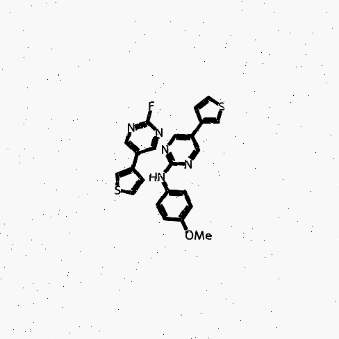 COc1ccc(Nc2ncc(-c3ccsc3)cn2)cc1.Fc1ncc(-c2ccsc2)cn1